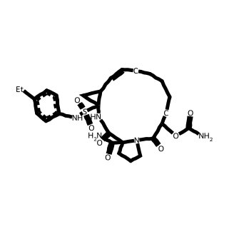 CCc1ccc(NS(=O)(=O)C23CC2C=CCCCCCC(OC(N)=O)C(=O)N2CCCC2(C(N)=O)C(=O)N3)cc1